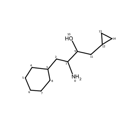 NC(CC1CCCCC1)C(O)CC1CC1